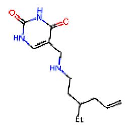 C=CCC(CC)CCNCc1c[nH]c(=O)[nH]c1=O